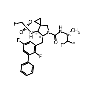 C[C@@H](NC(=O)N1CC2(CC2)[C@H](NS(=O)(=O)CF)[C@@H]1Cc1cc(F)cc(-c2ccccc2)c1F)C(F)F